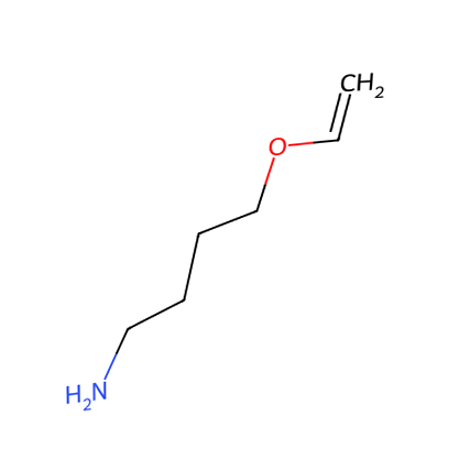 C=COCCCCN